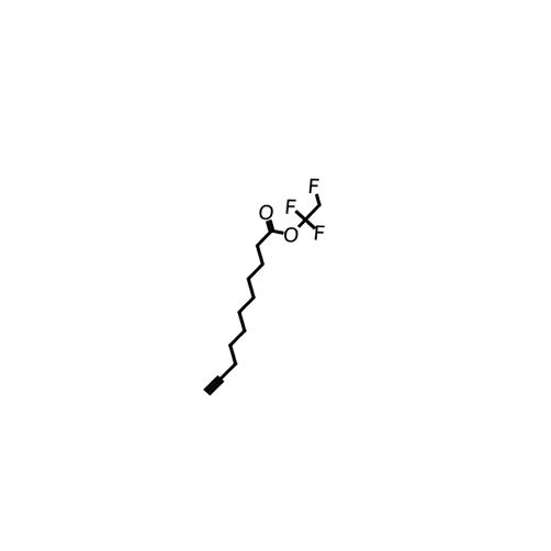 C#CCCCCCCCCC(=O)OC(F)(F)CF